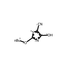 CCCCOc1nc(O)c(C#N)s1